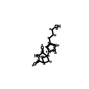 O=C1NC(=O)C2(n3cc(CCCO)nn3)CC1C2